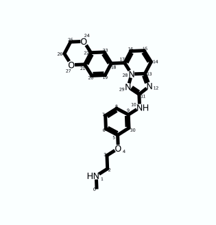 CNCCOc1cccc(Nc2nc3cccc(-c4ccc5c(c4)OCCO5)n3n2)c1